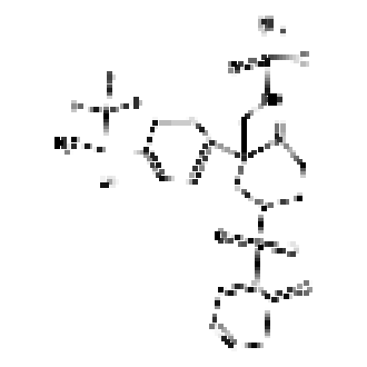 CC(O)(c1ccc([C@@]2(CNS(N)(=O)=O)CN(S(=O)(=O)C3=CC=CCC3=S)CCN2)cc1)C(F)(F)F